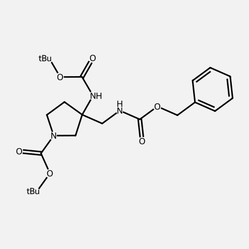 CC(C)(C)OC(=O)NC1(CNC(=O)OCc2ccccc2)CCN(C(=O)OC(C)(C)C)C1